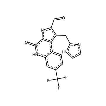 O=Cc1nc2c(=O)[nH]c3cc(C(F)(F)F)ccc3n2c1Cc1ncc[nH]1